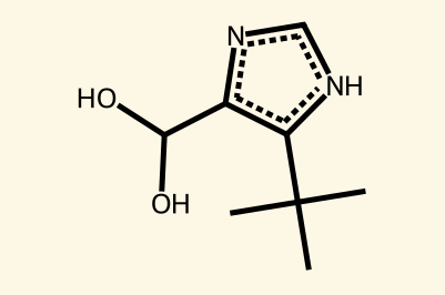 CC(C)(C)c1[nH]cnc1C(O)O